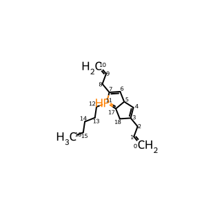 C=CCC1=CC2C=C(CC=C)[PH](CCCCC)=C2C1